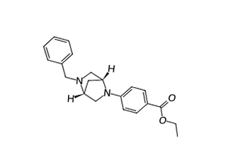 CCOC(=O)c1ccc(N2C[C@H]3C[C@@H]2CN3Cc2ccccc2)cc1